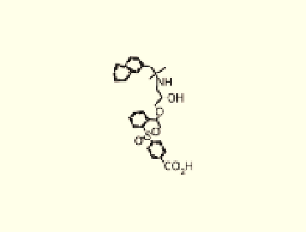 CC(OC[C@@H](O)CNC(C)(C)Cc1ccc2ccccc2c1)c1ccccc1S(=O)(=O)c1ccc(C(=O)O)cc1